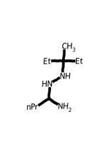 CCCC(N)NNC(C)(CC)CC